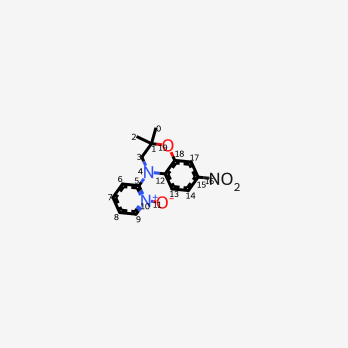 CC1(C)CN(c2cccc[n+]2[O-])c2ccc([N+](=O)[O-])cc2O1